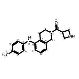 O=C(C1CNC1)N1CCc2c(cccc2Nc2ccc(C(F)(F)F)cc2)C1